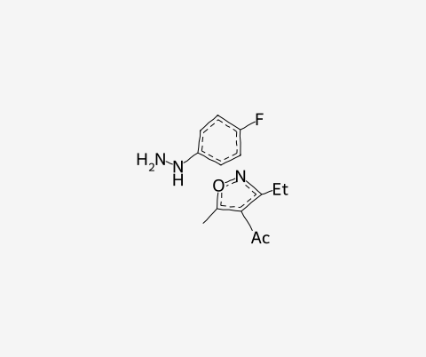 CCc1noc(C)c1C(C)=O.NNc1ccc(F)cc1